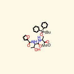 COC(=O)C(CO[Si](c1ccccc1)(c1ccccc1)C(C)(C)C)NC(=O)C(NC(=O)c1ccco1)C(C)O